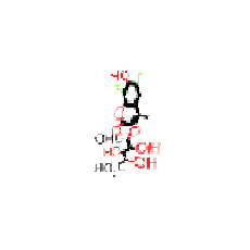 Cc1c(O[C@@H](C=O)[C@@H](O)[C@H](O)[C@H](O)C(=O)O)c(=O)oc2c(F)c(O)c(F)cc12